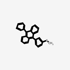 CSc1cccc(-c2c3ccccc3c(-c3ccccc3)c3ccccc23)c1